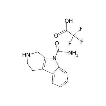 NC(=O)n1c2c(c3ccccc31)CCNC2.O=C(O)C(F)(F)F